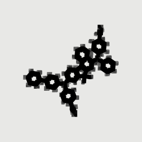 CC1(C)c2cc(N(c3ccc(C#N)cc3)c3ccc(-c4ccccc4)cc3)ccc2-c2c1cc(N(c1ccccc1)c1ccc(C#N)cc1)c1ccccc21